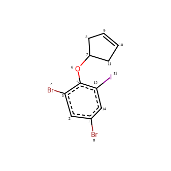 Brc1cc(Br)c(OC2CC=CC2)c(I)c1